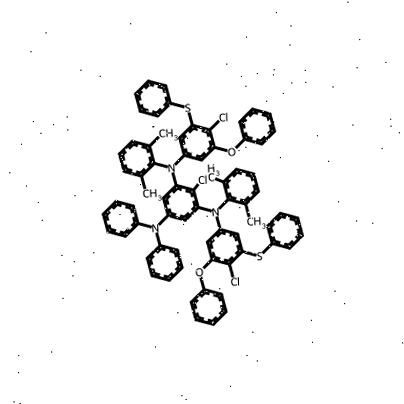 Cc1cccc(C)c1N(c1cc(Oc2ccccc2)c(Cl)c(Sc2ccccc2)c1)c1cc(N(c2ccccc2)c2ccccc2)cc(N(c2cc(Oc3ccccc3)c(Cl)c(Sc3ccccc3)c2)c2c(C)cccc2C)c1Cl